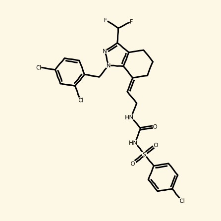 O=C(NCC=C1CCCc2c(C(F)F)nn(Cc3ccc(Cl)cc3Cl)c21)NS(=O)(=O)c1ccc(Cl)cc1